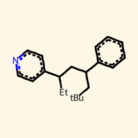 CCC(CC(CC(C)(C)C)c1ccccc1)c1ccncc1